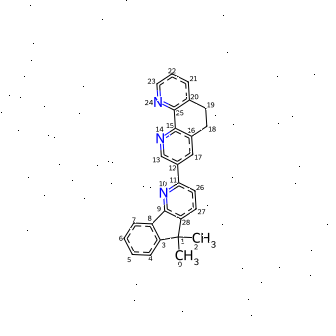 CC1(C)c2ccccc2-c2nc(-c3cnc4c(c3)CCc3cccnc3-4)ccc21